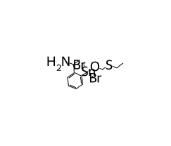 CCSC[O][Sn]([Br])([Br])[c]1ccccc1C(C)N